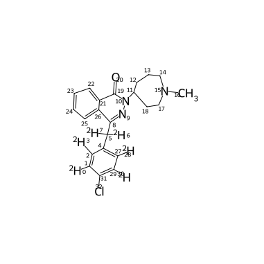 [2H]c1c([2H])c(C([2H])([2H])c2nn(C3CCCN(C)CC3)c(=O)c3ccccc23)c([2H])c([2H])c1Cl